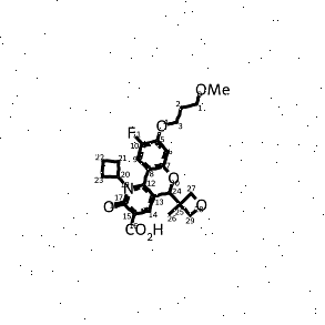 COCCCOc1cc2c(cc1F)-c1c(cc(C(=O)O)c(=O)n1C1CCC1)C(C1(C)COC1)O2